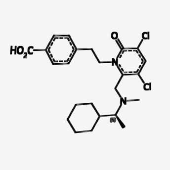 C[C@@H](C1CCCCC1)N(C)Cc1c(Cl)cc(Cl)c(=O)n1CCc1ccc(C(=O)O)cc1